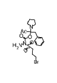 CC(=O)C(Cc1ccccc1)(OC(=O)N(N)S(=O)(=O)CCCBr)N1CCCC1